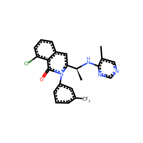 Cc1cncnc1N[C@@H](C)c1cc2cccc(Cl)c2c(=O)n1-c1cccc(C(F)(F)F)c1